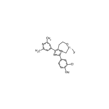 Cc1cc(-c2nc(-c3ccc(O)c(Cl)c3)n3c2CCO[C@H](CF)C3)cc(C)n1